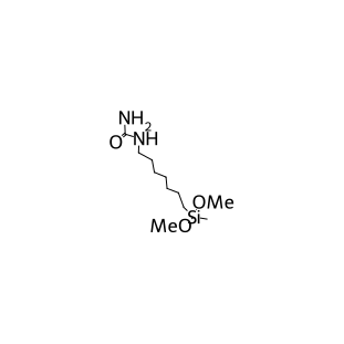 CO[Si](C)(CCCCCCCNC(N)=O)OC